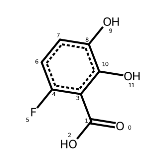 O=C(O)c1c(F)ccc(O)c1O